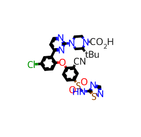 CC(C)(C)C1CN(c2nccc(-c3cc(Cl)ccc3Oc3ccc(S(=O)(=O)Nc4ncns4)cc3C#N)n2)CCN1C(=O)O